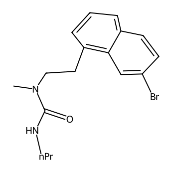 CCCNC(=O)N(C)CCc1cccc2ccc(Br)cc12